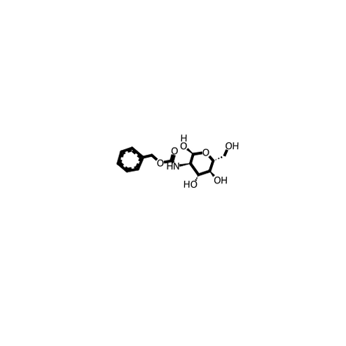 O=C(N[C@@H]1[C@@H](O)[C@H](O)[C@@H](CO)O[C@@H]1O)OCc1ccccc1